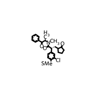 CSc1ccc([C@@H](CC2CCCC2=O)C(=O)N(C)[C@H](C)C(=O)c2ccccc2)cc1Cl